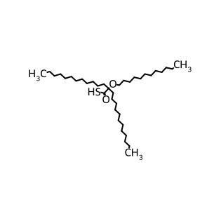 CCCCCCCCCCCCOC(CCCCCCCCCCCC)(CCCCCCCCCCCC)C(=O)S